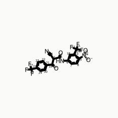 N#CC(C(=O)Nc1ccc([N+](=O)[O-])c(C(F)(F)F)c1)C(=O)c1ccc(C(F)(F)F)cc1